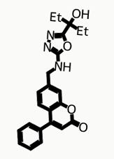 CCC(O)(CC)c1nnc(NCc2ccc3c(-c4ccccc4)cc(=O)oc3c2)o1